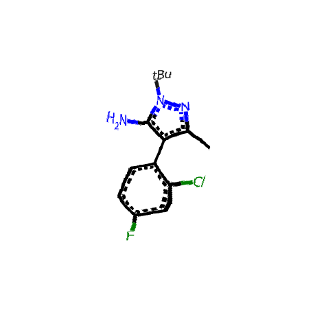 Cc1nn(C(C)(C)C)c(N)c1-c1ccc(F)cc1Cl